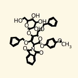 COc1ccc(O[C@@H]2OC(COCc3ccccc3)C(O[C@@H]3OC(CO)[C@H](O)C(O)C3O)=C(OCc3ccccc3)C2N2C(=O)c3ccccc3C2=O)cc1